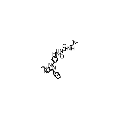 CCn1ncc2c(N3CC4CCC(C3)O4)nc(-c3ccc(NC(=O)NCC(=O)NCCN(C)C)cc3)nc21